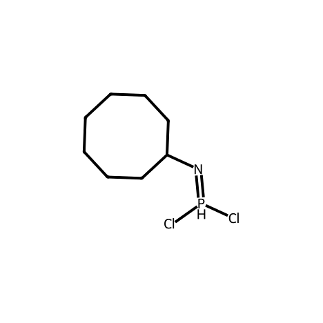 Cl[PH](Cl)=NC1CCCCCCC1